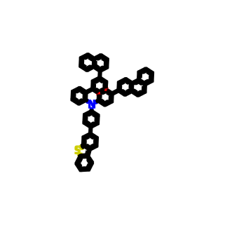 c1cc(-c2ccccc2N(c2ccc(-c3ccc4c(ccc5ccccc54)c3)cc2)c2ccc(-c3ccc4c(c3)sc3ccccc34)cc2)cc(-c2cccc3ccccc23)c1